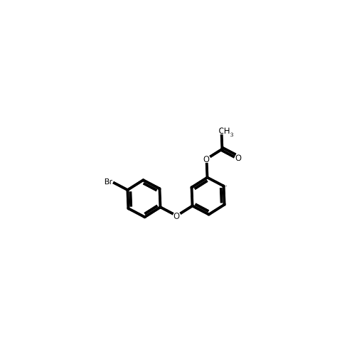 CC(=O)Oc1[c]ccc(Oc2ccc(Br)cc2)c1